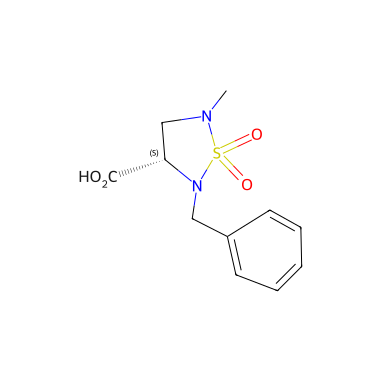 CN1C[C@@H](C(=O)O)N(Cc2ccccc2)S1(=O)=O